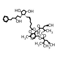 C#CCC(C(=O)OCc1cnc(C)c(OC(=O)CCC/C=C\C[C@@H]2[C@@H](CCC(O)CCc3ccccc3)[C@H](O)C[C@@H]2O)c1COC(=O)C(CC#C)C(C)C)C(C)C